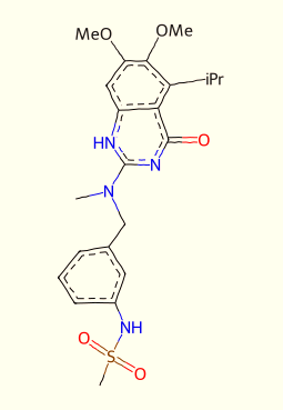 COc1cc2[nH]c(N(C)Cc3cccc(NS(C)(=O)=O)c3)nc(=O)c2c(C(C)C)c1OC